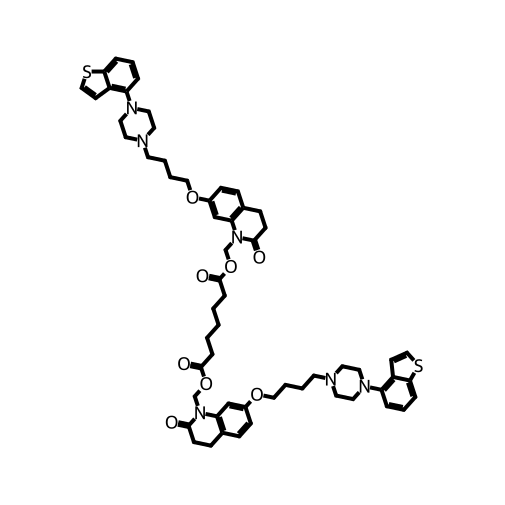 O=C(CCCCCC(=O)OCN1C(=O)CCc2ccc(OCCCCN3CCN(c4cccc5sccc45)CC3)cc21)OCN1C(=O)CCc2ccc(OCCCCN3CCN(c4cccc5sccc45)CC3)cc21